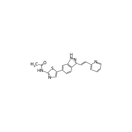 CC(=O)Nc1ncc(-c2ccc3c(C=Cc4ccccn4)n[nH]c3c2)s1